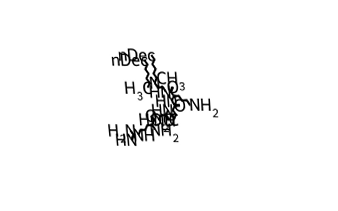 CCCCCCCCCCCCCCC(C)N(CCNC(=O)C(CCCCN)NC(=O)C(CC(=O)O)NC(=O)CNC(=O)C(N)CCCNC(=N)N)C(C)CCCCCCCCCCCCCC